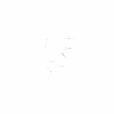 CCCCCCCC(CCCCC)C(OC(=O)N(C)CC(C)C)C(C)C